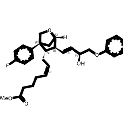 COC(=O)CCC/C=C\C[C@H]1[C@H](/C=C/[C@H](O)COc2ccccc2)[C@@H]2C[C@@]1(c1ccc(F)cc1)CO2